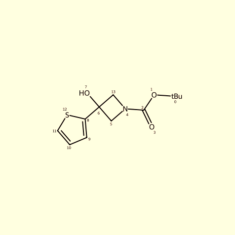 CC(C)(C)OC(=O)N1CC(O)(c2cccs2)C1